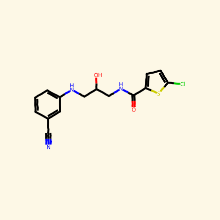 N#Cc1cccc(NCC(O)CNC(=O)c2ccc(Cl)s2)c1